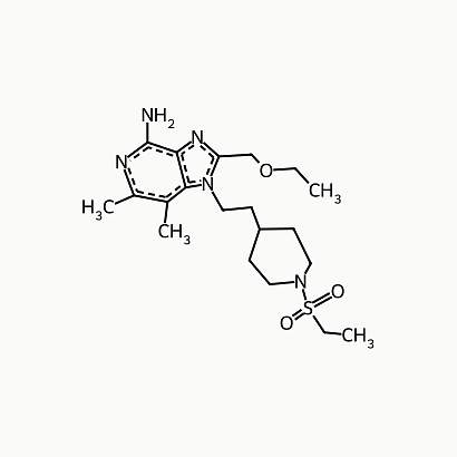 CCOCc1nc2c(N)nc(C)c(C)c2n1CCC1CCN(S(=O)(=O)CC)CC1